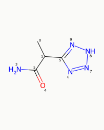 CC(C(N)=O)c1nn[nH]n1